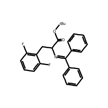 CC(C)(C)OC(=O)C(Cc1c(F)cccc1F)N=C(c1ccccc1)c1ccccc1